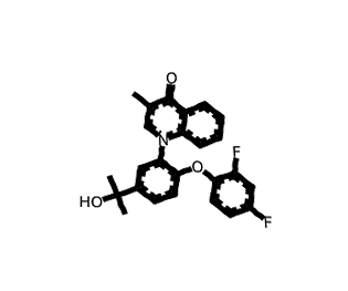 Cc1cn(-c2cc(C(C)(C)O)ccc2Oc2ccc(F)cc2F)c2ccccc2c1=O